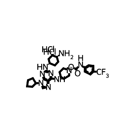 Cl.Cl.N[C@H]1CC[C@H](Nc2nc(NC3CCN(OC(=O)Nc4ccc(C(F)(F)F)cc4)CC3)c3ncn(C4CCCC4)c3n2)CC1